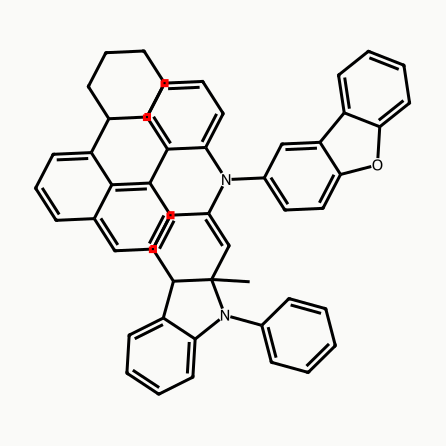 CC12C=C(N(c3ccc4oc5ccccc5c4c3)c3ccccc3-c3cccc4cccc(C5CCCCC5)c34)C=CC1c1ccccc1N2c1ccccc1